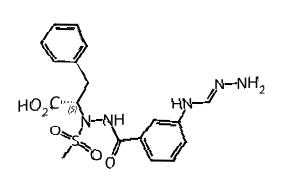 CS(=O)(=O)N(NC(=O)c1cccc(NC=NN)c1)[C@@H](Cc1ccccc1)C(=O)O